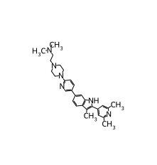 Cc1cc(-c2[nH]c3cc(-c4ccc(N5CCN(CCN(C)C)CC5)nc4)ccc3c2C)cc(C)n1